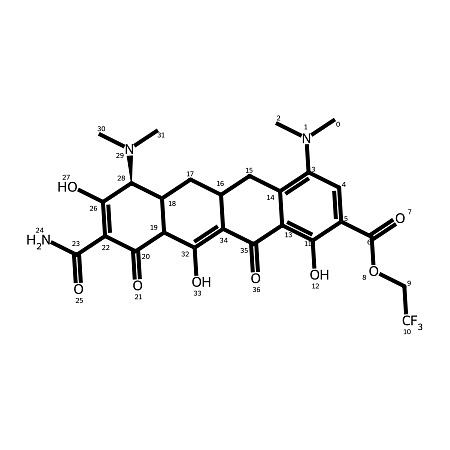 CN(C)c1cc(C(=O)OCC(F)(F)F)c(O)c2c1CC1CC3C(C(=O)C(C(N)=O)=C(O)[C@H]3N(C)C)C(O)=C1C2=O